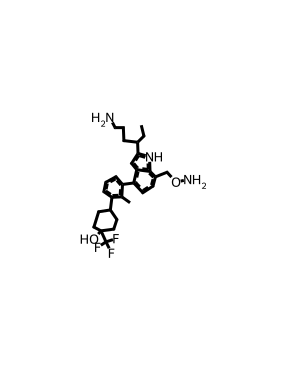 CCC(CCCN)c1cc2c(-c3cccc(C4CCC(O)(C(F)(F)F)CC4)c3C)ccc(CON)c2[nH]1